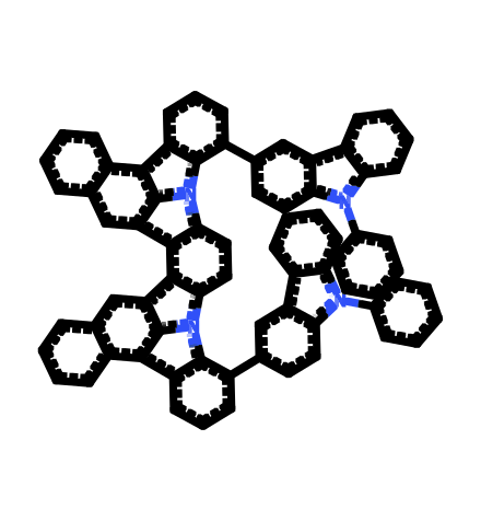 c1ccc(-n2c3ccccc3c3cc(-c4cccc5c6c7ccccc7cc7c8c9c%10cc%11ccccc%11c%11c%12cccc(-c%13ccc%14c(c%13)c%13ccccc%13n%14-c%13ccccc%13)c%12n(c9ccc8n(c45)c76)c%10%11)ccc32)cc1